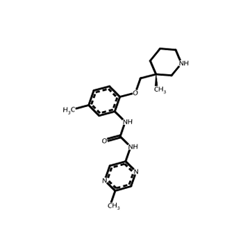 Cc1ccc(OC[C@]2(C)CCCNC2)c(NC(=O)Nc2cnc(C)cn2)c1